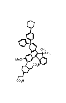 COc1cc2c3c(c4c(c2cc1N1CCC(CCC(=O)O)C/C1=C/C(=O)O)-c1ccccc1C4(C)C)C=CC(c1ccccc1)(c1ccc(N2CCOCC2)cc1)O3